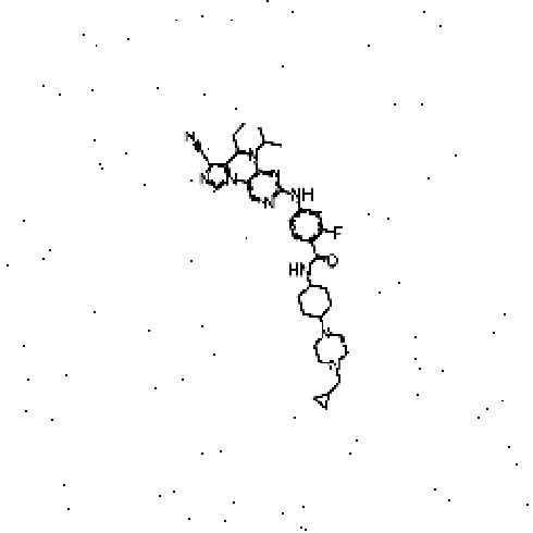 CCC1c2c(C#N)ncn2-c2cnc(Nc3ccc(C(=O)NC4CCC(N5CCN(CC6CC6)CC5)CC4)c(F)c3)nc2N1C(C)C